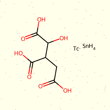 O=C(O)CC(C(=O)O)C(O)C(=O)O.[SnH4].[Tc]